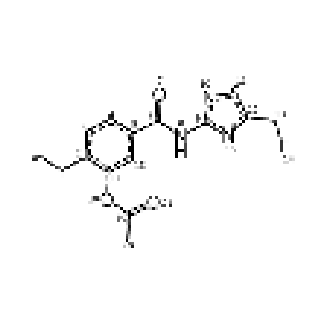 CCc1ccc(C(=O)Nc2nsc(CF)n2)cc1OC(C)=O